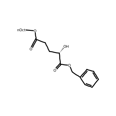 CCCCCCCCOC(=O)CC[C@H](O)C(=O)OCc1ccccc1